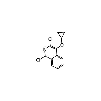 Clc1nc(Cl)c2ccccc2c1OC1CC1